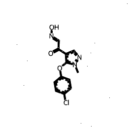 Cn1ncc(C(=O)C=NO)c1Oc1ccc(Cl)cc1